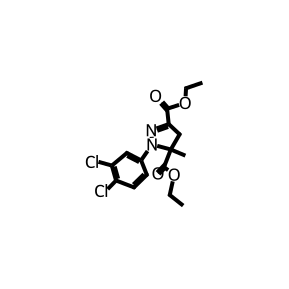 CCOC(=O)C1=NN(c2ccc(Cl)c(Cl)c2)C(C)(C(=O)OCC)C1